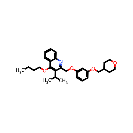 CCCCOc1c(C(C)C)c(COc2cccc(OCC3CCOCC3)c2)nc2ccccc12